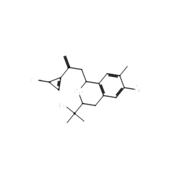 C=C(CC1NC(C(C)(C)CCC)Cc2cc(CCC)c(C)cc21)C1=CC1CC